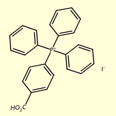 O=C(O)c1ccc([P+](c2ccccc2)(c2ccccc2)c2ccccc2)cc1.[I-]